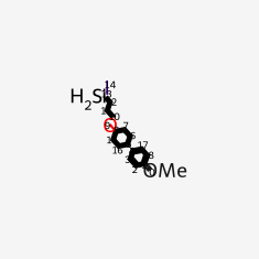 COc1ccc([C@H]2CC[C@H](OCCC[SiH2]I)CC2)cc1